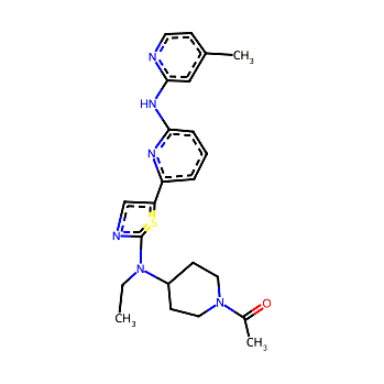 CCN(c1ncc(-c2cccc(Nc3cc(C)ccn3)n2)s1)C1CCN(C(C)=O)CC1